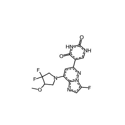 COC1CN(c2cc(-c3c[nH]c(=O)[nH]c3=O)nn3c(F)cnc23)CC1(F)F